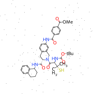 COC(=O)c1ccc(C(=O)Nc2ccc3c(c2)CN(C(=O)[C@@H](NC(=O)OC(C)(C)C)C(C)(C)S)[C@H](C(=O)NC2CCCc4ccccc42)C3)cc1